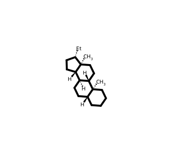 CC[C@H]1CC[C@H]2[C@@H]3CC[C@H]4CCCC[C@]4(C)[C@H]3CC[C@]12C